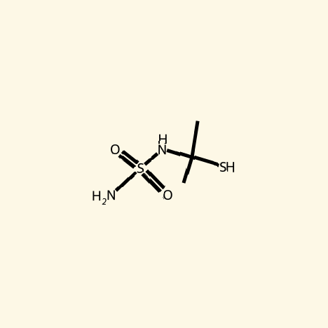 CC(C)(S)NS(N)(=O)=O